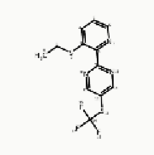 CCSc1cccnc1-c1ncc(SC(F)(F)F)cn1